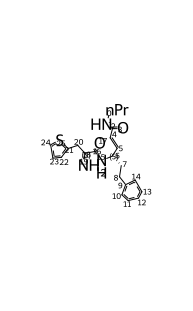 CCCNC(=O)C=C[C@H](CCc1ccccc1)NC(=O)[C@@H](N)Cc1cccs1